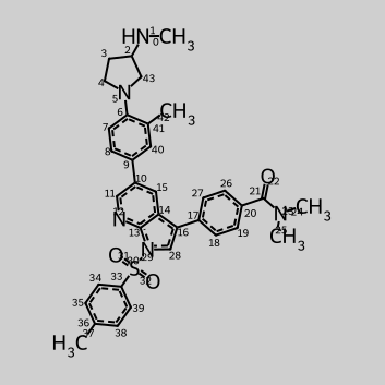 CNC1CCN(c2ccc(-c3cnc4c(c3)c(-c3ccc(C(=O)N(C)C)cc3)cn4S(=O)(=O)c3ccc(C)cc3)cc2C)C1